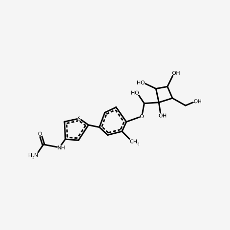 Cc1cc(-c2cc(NC(N)=O)cs2)ccc1OC(O)C1(O)C(O)C(O)C1CO